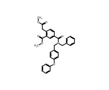 COC(=O)Cc1ccc(C(=O)N(Cc2ccccc2)Cc2ccc(Oc3ccccc3)cc2)cc1C(=O)OC